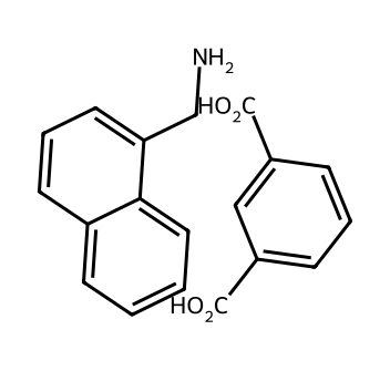 NCc1cccc2ccccc12.O=C(O)c1cccc(C(=O)O)c1